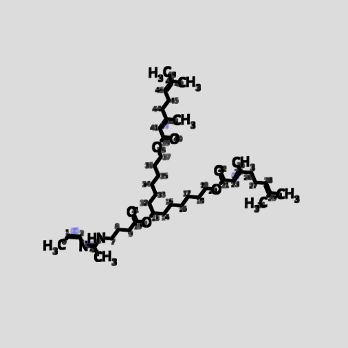 C/C=C\N=C(\C)NCCCC(=O)OC(CCCCCCOC(=O)/C=C(\C)CCC=C(C)C)CCCCCCOC(=O)/C=C(\C)CCC=C(C)C